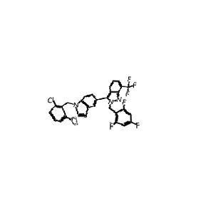 Fc1cc(F)c(Cn2nc3c(C(F)(F)F)cccc3c2-c2ccc3c(ccn3Cc3c(Cl)cccc3Cl)c2)c(F)c1